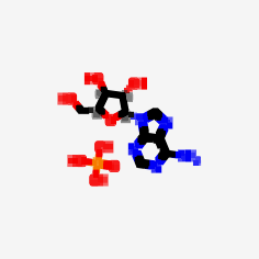 Nc1ncnc2c1ncn2[C@@H]1O[C@H](CO)[C@@H](O)[C@@H]1O.O=P(O)(O)O